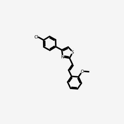 COc1ccccc1/C=C/c1nc(-c2ccc(Cl)cc2)cs1